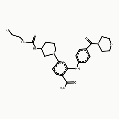 NC(=O)c1ccc(N2CCCC(NC(=O)NCCCl)C2)nc1Nc1ccc(C(=O)N2CCOCC2)cc1